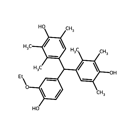 CCOc1cc(C(c2cc(C)c(O)c(C)c2C)c2cc(C)c(O)c(C)c2C)ccc1O